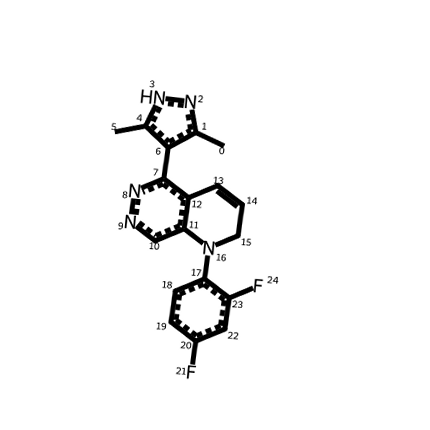 Cc1n[nH]c(C)c1-c1nncc2c1C=CCN2c1ccc(F)cc1F